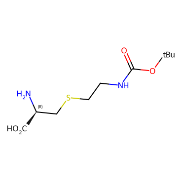 CC(C)(C)OC(=O)NCCSC[C@H](N)C(=O)O